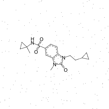 Cn1c(=O)n(CCC2CC2)c2ccc(S(=O)(=O)NC3(C)CC3)cc21